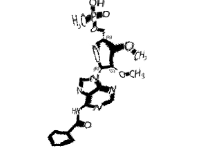 COC1[C@@H](COP(C)(=O)O)O[C@@H](n2cnc3c(NC(=O)c4ccccc4)ncnc32)[C@H]1OC